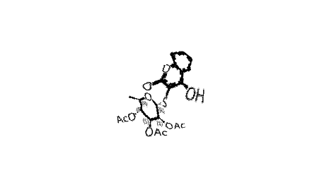 CC(=O)O[C@@H]1[C@H](OC(C)=O)[C@@H](Sc2c(O)c3ccccc3oc2=O)O[C@H](C)[C@H]1OC(C)=O